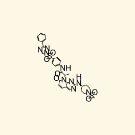 CC(C(=O)Nc1ccc(S(=O)(=O)n2cnc(-c3ccccc3)n2)cc1)n1c(=O)ccc2cnc(NC3CCN(S(C)(=O)=O)CC3)nc21